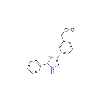 O=CCc1cccc(-c2c[nH]c(-c3ccccc3)n2)c1